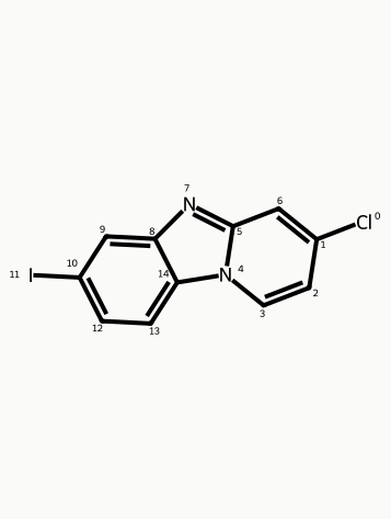 Clc1ccn2c(c1)nc1cc(I)ccc12